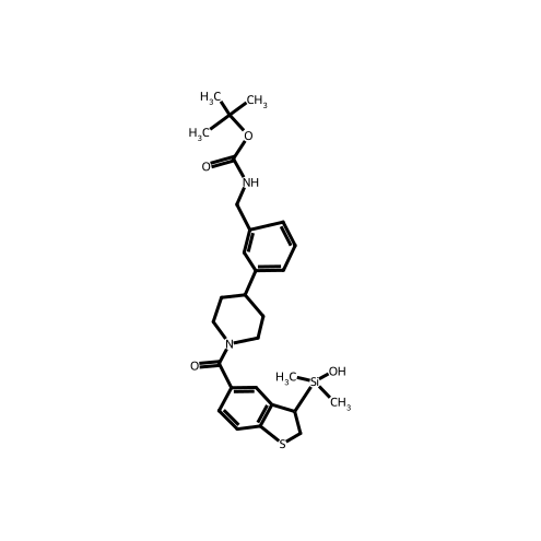 CC(C)(C)OC(=O)NCc1cccc(C2CCN(C(=O)c3ccc4c(c3)C([Si](C)(C)O)CS4)CC2)c1